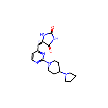 O=C1NC(=O)/C(=C\c2ccnc(N3CCC(N4CCCC4)CC3)n2)N1